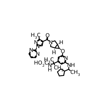 Cc1nn(-c2ncccn2)cc1C(=O)N1C[C@@H]2[C@H](C1)[C@@H]2Oc1cc(C(C)(C)NC(=O)O)cc(NC(C)C2CCCC2)n1